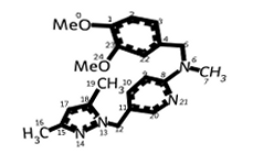 COc1ccc(CN(C)c2ccc(Cn3nc(C)cc3C)cn2)cc1OC